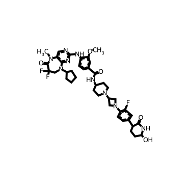 COc1cc(C(=O)NC2CCN(C3CN(c4ccc(C5CCC(O)NC5=O)cc4F)C3)CC2)ccc1Nc1ncc2c(n1)N(C1CCCC1)CC(F)(F)C(=O)N2C